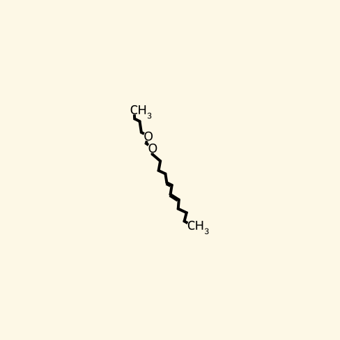 CCCCC=CC=CCCCCOCOCCCC